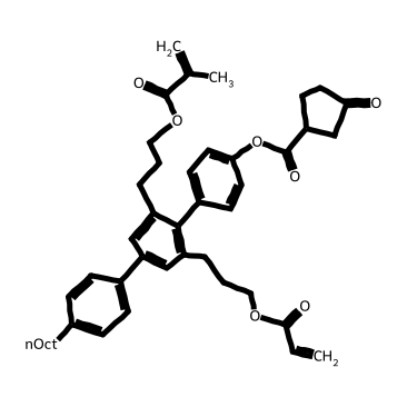 C=CC(=O)OCCCc1cc(-c2ccc(CCCCCCCC)cc2)cc(CCCOC(=O)C(=C)C)c1-c1ccc(OC(=O)C2CCC(=O)C2)cc1